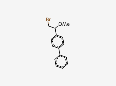 COC(CBr)c1ccc(-c2ccccc2)cc1